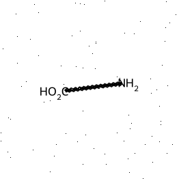 NCCCCCCCCCCCCCCCCCCCCCCCCCCC(=O)O